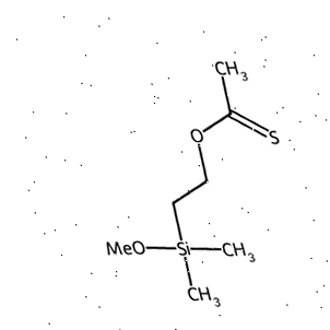 CO[Si](C)(C)CCOC(C)=S